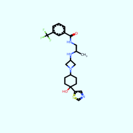 CC(CNC(=O)c1cccc(C(F)(F)F)c1)NC1CN(C2CCC(O)(c3cncs3)CC2)C1